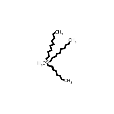 CCCCC/C=C/C[Si](C)(CCCCCCCCCC)CCCCCCCCCC